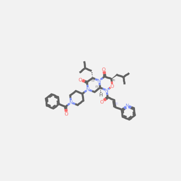 CC(C)C[C@H]1ON(C(=O)/C=C/c2ccccn2)[C@H]2CN(C3CCN(C(=O)c4ccccc4)CC3)C(=O)[C@H](CC(C)C)N2C1=O